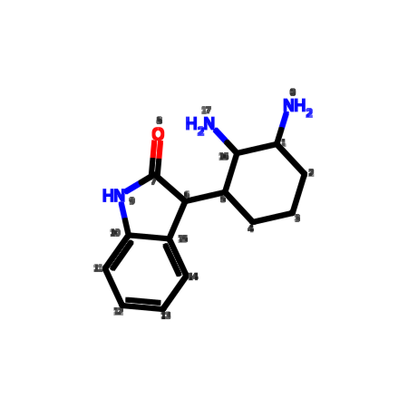 NC1CCCC(C2C(=O)Nc3ccccc32)C1N